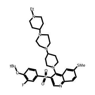 CCN1CCC(N2CCN(C3CCN(c4c(S(=O)(=O)c5ccc(OC(C)(C)C)c(F)c5)cnc5ccc(SC)cc45)CC3)CC2)CC1